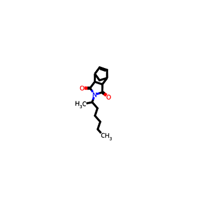 CCCCCC(C)N1C(=O)C2C3C=CC(C3)C2C1=O